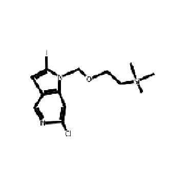 C[Si](C)(C)CCOCn1c(I)cc2cnc(Cl)cc21